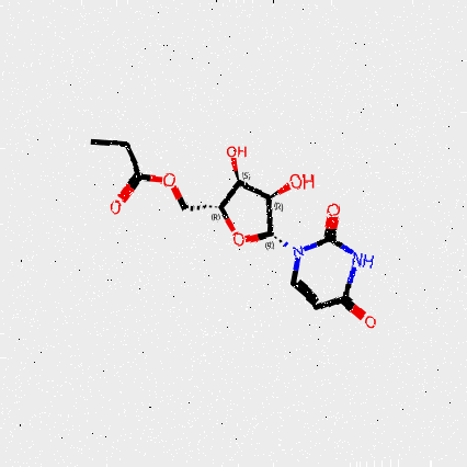 CCC(=O)OC[C@H]1O[C@@H](n2ccc(=O)[nH]c2=O)[C@H](O)[C@@H]1O